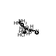 Cl.N=C(N)c1ccc(CNC(C(=O)NCC(=O)NCCc2ccccn2)c2ccc[nH]2)cc1